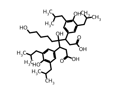 CC(C)Cc1cc(C(CC(=O)O)C(O)(CCCCCO)C(CC(=O)O)c2cc(CC(C)C)c(O)c(CC(C)C)c2)cc(CC(C)C)c1O